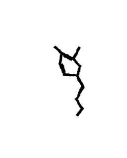 CCCCC1C=CC(C)=C(C)C1